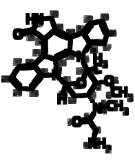 CO[C@@H]1[C@H](N(C)C(=O)CN)C[C@H]2O[C@]1(C)n1c3ccccc3c3c4c(c5c6ccccc6n2c5c31)C(=O)NC4